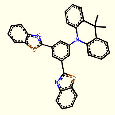 CC1(C)c2ccccc2N(c2cc(-c3nc4ccccc4s3)cc(-c3nc4ccccc4s3)c2)c2ccccc21